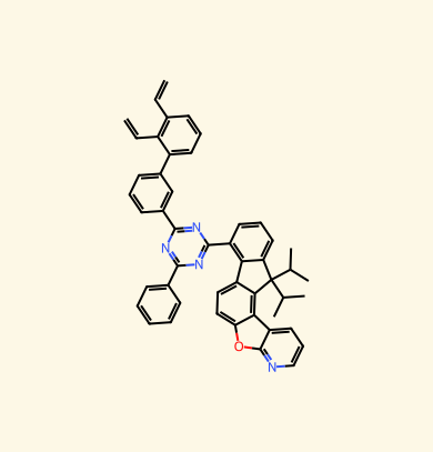 C=Cc1cccc(-c2cccc(-c3nc(-c4ccccc4)nc(-c4cccc5c4-c4ccc6oc7ncccc7c6c4C5(C(C)C)C(C)C)n3)c2)c1C=C